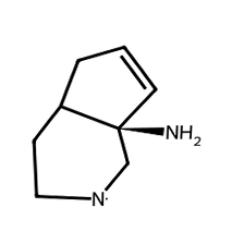 N[C@]12C=CCC1CC[N]C2